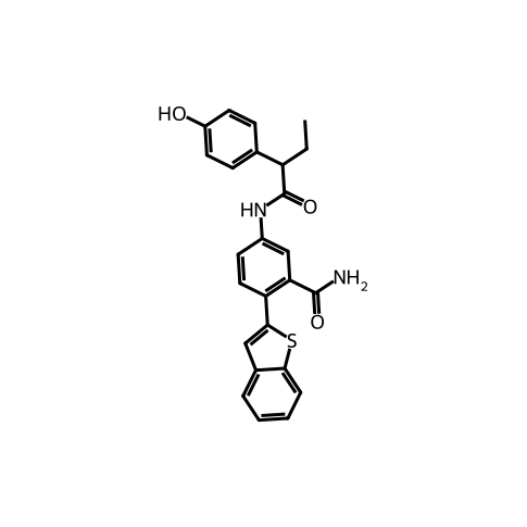 CCC(C(=O)Nc1ccc(-c2cc3ccccc3s2)c(C(N)=O)c1)c1ccc(O)cc1